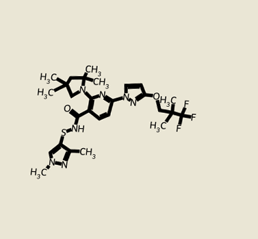 Cc1nn(C)cc1SNC(=O)c1ccc(-n2ccc(OCC(C)(C)C(F)(F)F)n2)nc1N1CC(C)(C)CC1(C)C